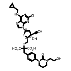 C#C[C@]1(O)C[C@H](n2cnc3c(NCC4CC4)nc(Cl)nc32)O[C@@H]1COC(Cc1ccc(N2CCCN(CCO)C2=O)cc1)(C(=O)O)C(=O)O